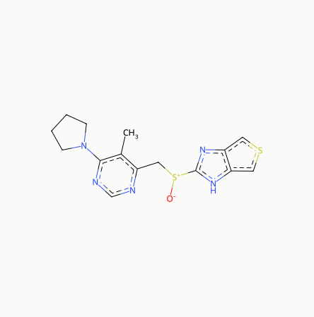 Cc1c(C[S+]([O-])c2nc3cscc3[nH]2)ncnc1N1CCCC1